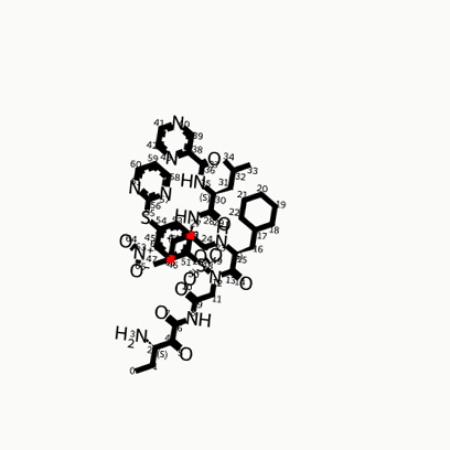 CC[C@H](N)C(=O)C(=O)NC(=O)CN(C(=O)[C@H](CC1CCCCC1)NC(=O)[C@@H](NC(=O)[C@H](CC(C)C)NC(=O)c1cnccn1)[C@@H](C)CC)S(=O)(=O)c1ccc(Sc2ncccn2)c([N+](=O)[O-])c1